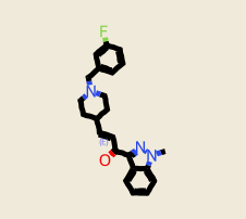 Cn1nc(C(=O)/C=C/C2CCN(Cc3cccc(F)c3)CC2)c2ccccc21